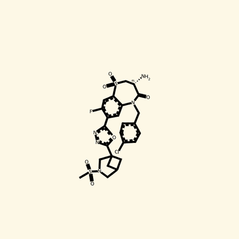 CS(=O)(=O)N1CC2CC(c3nnc(-c4cc5c(cc4F)S(=O)(=O)C[C@H](N)C(=O)N5Cc4ccc(Cl)cc4)o3)(C2)C1